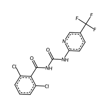 O=C(NC(=O)c1c(Cl)cccc1Cl)Nc1ccc(C(F)(F)F)cn1